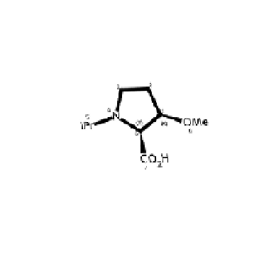 CO[C@@H]1CCN(C(C)C)[C@@H]1C(=O)O